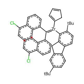 CC(C)(C)c1ccc2c(c1)Cc1c-2ccc(C(C)(C)C)[c]1[Zr]([C]1=CC=CC1)=[C](c1cccc2c(Cl)cccc12)c1cccc2c(Cl)cccc12